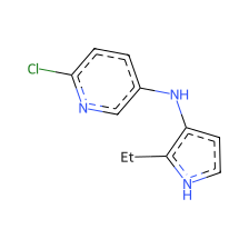 CCc1[nH]ccc1Nc1ccc(Cl)nc1